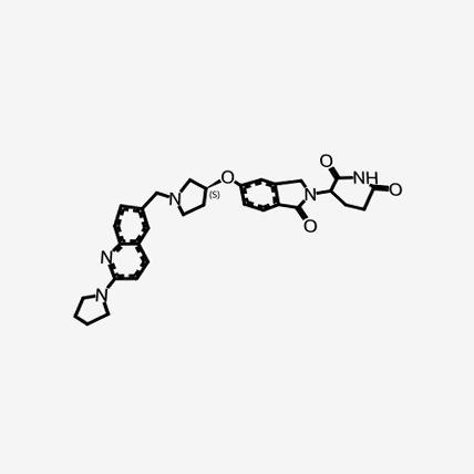 O=C1CCC(N2Cc3cc(O[C@H]4CCN(Cc5ccc6nc(N7CCCC7)ccc6c5)C4)ccc3C2=O)C(=O)N1